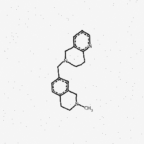 CN1CCc2ccc(CN3CCc4ncccc4C3)cc2C1